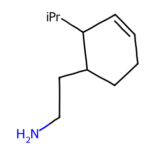 CC(C)C1C=CCCC1CCN